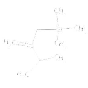 C=C(C[Si](C)(C)C)C(C)C